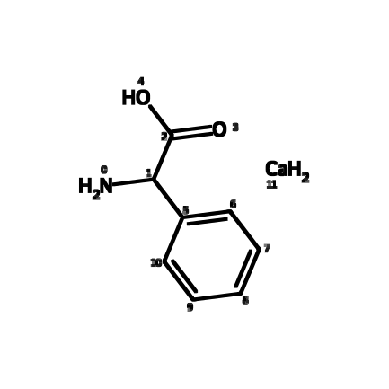 NC(C(=O)O)c1ccccc1.[CaH2]